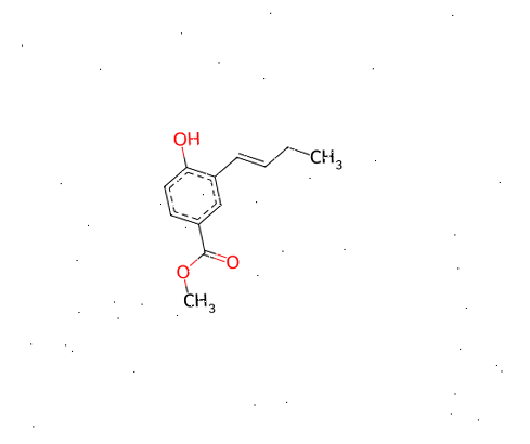 CCC=Cc1cc(C(=O)OC)ccc1O